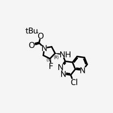 CC(C)(C)OC(=O)N1C[C@H](F)[C@H](Nc2nnc(Cl)c3ncccc23)C1